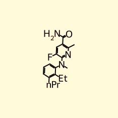 CCCc1cccc(N(C)c2nc(C)c(C(N)=O)cc2F)c1CC